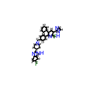 Fc1ccc2nc(C3CCN(Cc4ccc(-c5nc(F)c(-c6ncc[nH]6)cc5-c5ccccc5)cc4)CC3)[nH]c2c1